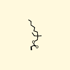 C=CC(=O)OCC(C)(CC)CCCCCC